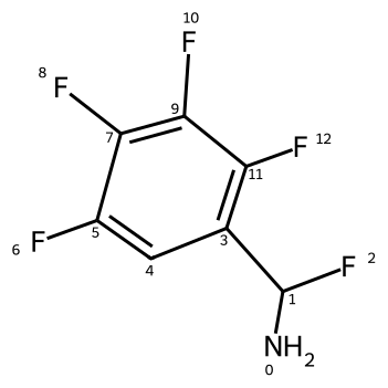 NC(F)c1cc(F)c(F)c(F)c1F